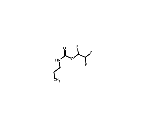 CCCNC(=O)OC(F)C(F)F